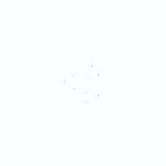 Cc1ccc(S)c(-c2cc(C)ccc2-c2ccc(O)cc2)c1